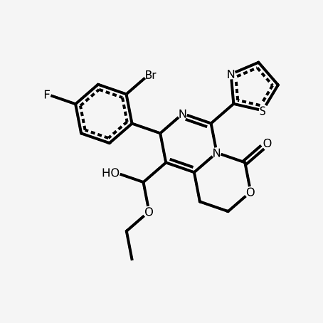 CCOC(O)C1=C2CCOC(=O)N2C(c2nccs2)=NC1c1ccc(F)cc1Br